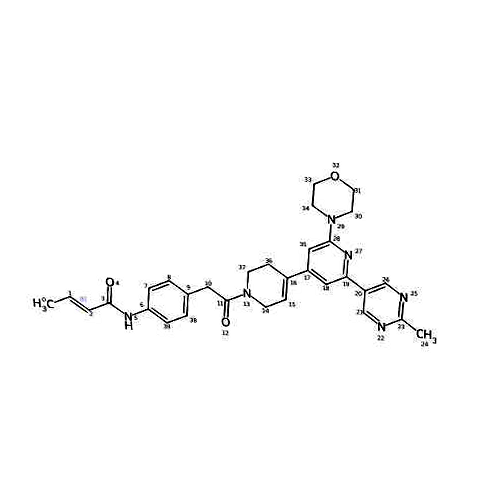 C/C=C/C(=O)Nc1ccc(CC(=O)N2CC=C(c3cc(-c4cnc(C)nc4)nc(N4CCOCC4)c3)CC2)cc1